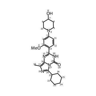 COc1cc(N2CCC(O)CC2)ccc1-c1nc2c(C)nc(C3CCCCC3)n2c(=O)[nH]1